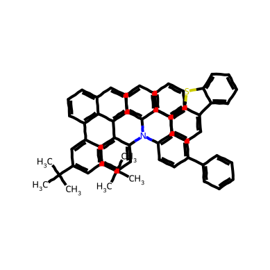 CC(C)(C)c1cc(-c2cccc3cccc(-c4ccccc4N(c4ccc(-c5ccccc5)cc4-c4ccccc4)c4ccccc4-c4cccc5c4sc4ccccc45)c23)cc(C(C)(C)C)c1